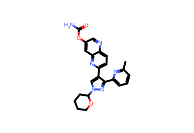 Cc1cccc(-c2nn(C3CCCCO3)cc2-c2ccc3ncc(OC(N)=O)cc3n2)n1